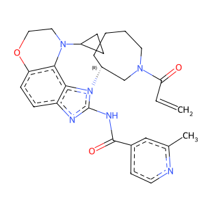 C=CC(=O)N1CCCC[C@@H](n2c(NC(=O)c3ccnc(C)c3)nc3ccc4c(c32)N(C2CC2)CCO4)C1